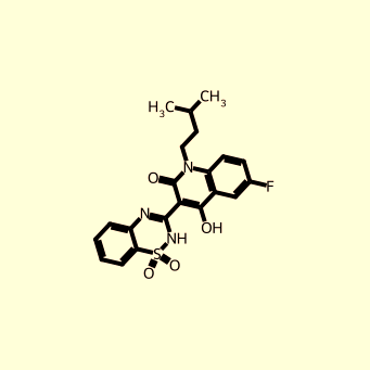 CC(C)CCn1c(=O)c(C2=Nc3ccccc3S(=O)(=O)N2)c(O)c2cc(F)ccc21